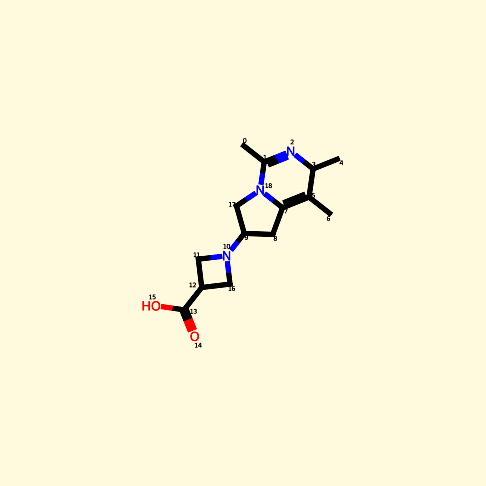 CC1=NC(C)C(C)=C2CC(N3CC(C(=O)O)C3)CN12